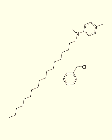 CCCCCCCCCCCCCCCCCCN(C)c1ccc(C)cc1.ClCc1ccccc1